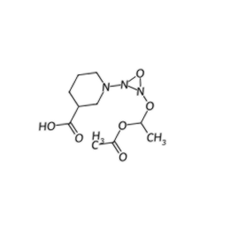 CC(=O)OC(C)On1on1N1CCCC(C(=O)O)C1